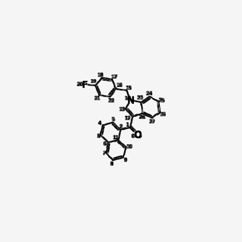 O=C(c1cccc2ccccc12)c1cn(Cc2ccc(F)cc2)c2ccccc12